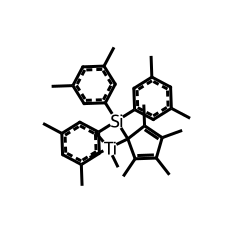 CC1=C(C)[C]([Si](c2cc(C)cc(C)c2)(c2cc(C)cc(C)c2)c2cc(C)cc(C)c2)([Ti]([CH3])([CH3])[CH3])C(C)=C1C